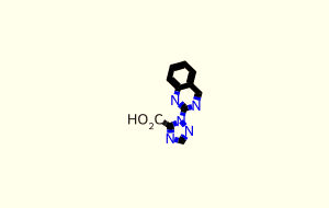 O=C(O)c1ncnn1-c1ncc2ccccc2n1